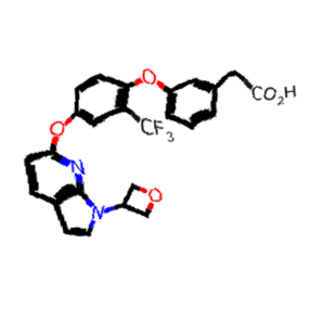 O=C(O)Cc1cccc(Oc2ccc(Oc3ccc4ccn(C5COC5)c4n3)cc2C(F)(F)F)c1